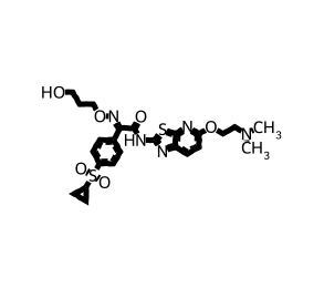 CN(C)CCOc1ccc2nc(NC(=O)/C(=N/OCCCO)c3ccc(S(=O)(=O)C4CC4)cc3)sc2n1